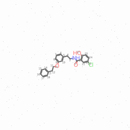 O=C(NCCc1cccc(OCCc2ccccc2)c1)c1cc(Cl)ccc1O